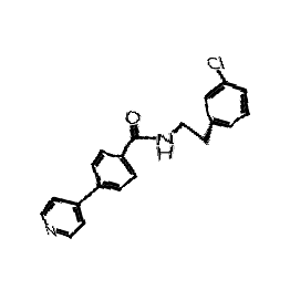 O=C(NCCc1cccc(Cl)c1)c1ccc(-c2ccncc2)cc1